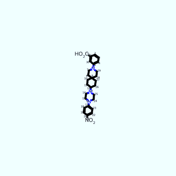 O=C(O)c1cccc(N2CCC3(CCC(N4CCN(c5ccc([N+](=O)[O-])cc5)CC4)CC3)CC2)c1